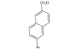 CCOC(=O)c1ccc2cc(C(C)=O)ccc2c1